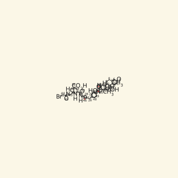 C[C@]12C=CC(=O)C=C1CC[C@@H]1[C@@H]2[C@@H](O)C[C@@]2(C)[C@H]1C[C@H]1CN(c3ccc(CC45CC(NC(=O)[C@H](CCC(=O)O)NC(=O)CNC(=O)CBr)(C4)C5)cc3)C[C@]12C(=O)CO